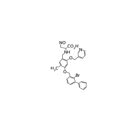 Cc1cc(CNC(CN=O)C(=O)O)c(OCc2cccnc2)cc1OCc1cccc(-c2ccccc2)c1Br